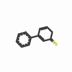 S=C1C=C(c2[c]cccc2)C=CC1